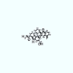 Cc1c(-c2ccc(C(N)=O)c3[nH]c4cc(CO)ccc4c23)cccc1-n1c(=O)cc2c(F)cccn2c1=O